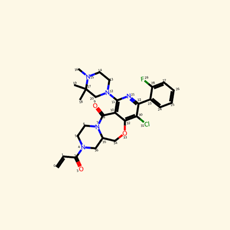 C=CC(=O)N1CCN2C(=O)c3c(N4CCN(C)C(C)(C)C4)nc(-c4ccccc4F)c(Cl)c3OCC2C1